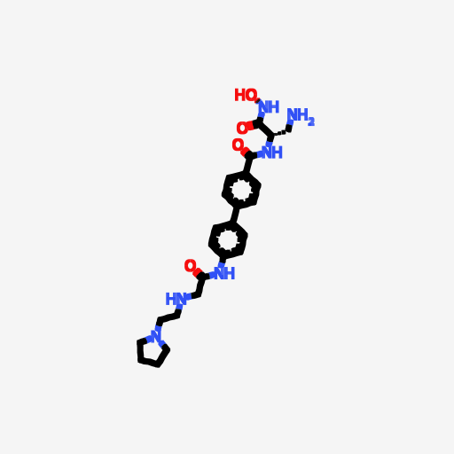 NC[C@H](NC(=O)c1ccc(-c2ccc(NC(=O)CNCCN3CCCC3)cc2)cc1)C(=O)NO